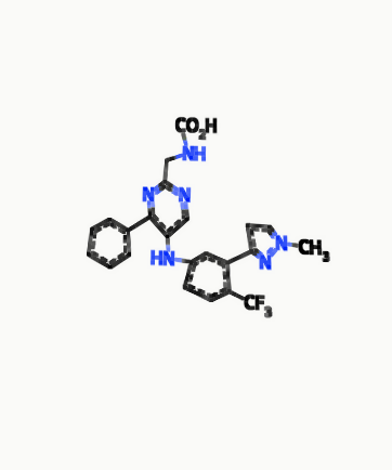 Cn1ccc(-c2cc(Nc3cnc(CNC(=O)O)nc3-c3ccccc3)ccc2C(F)(F)F)n1